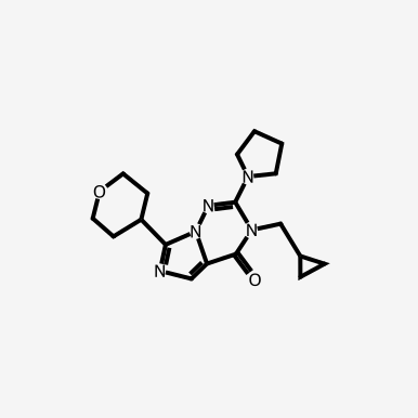 O=c1c2cnc(C3CCOCC3)n2nc(N2CCCC2)n1CC1CC1